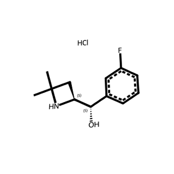 CC1(C)C[C@@H]([C@@H](O)c2cccc(F)c2)N1.Cl